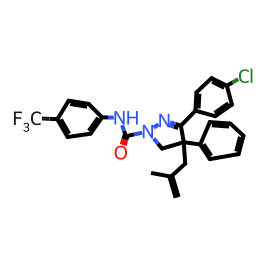 C=C(C)CC1(c2ccccc2)CN(C(=O)Nc2ccc(C(F)(F)F)cc2)N=C1c1ccc(Cl)cc1